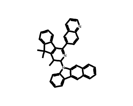 CC1C2=C(C(c3ccc4ncccc4c3)=NC1n1c3ccccc3c3cc4ccccc4cc31)c1ccccc1C2(C)C